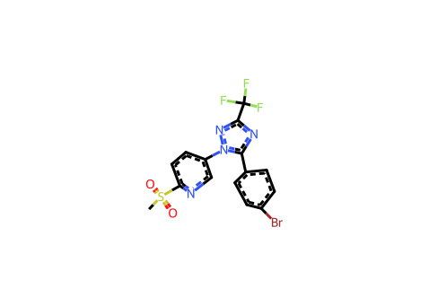 CS(=O)(=O)c1ccc(-n2nc(C(F)(F)F)nc2-c2ccc(Br)cc2)cn1